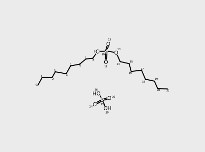 CCCCCCCCCOS(=O)(=O)OCCCCCCCC.O=S(=O)(O)O